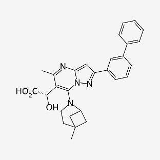 Cc1nc2cc(-c3cccc(-c4ccccc4)c3)nn2c(N2CCC3(C)CC2C3)c1[C@H](O)C(=O)O